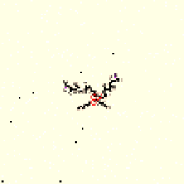 CCCCCCOC(CCCC(C)CC(C)CC(C)CC(C)CC(C)I)OC(CCCC(C)CC(C)CC(C)CC(C)CC(C)I)OCCCCCC